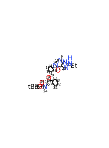 CCNc1ncc2c(n1)N(C)CCN(c1cccc(CO[C@@H](CCN(C)C(=O)OC(C)(C)C)c3ccccc3)c1)C2=O